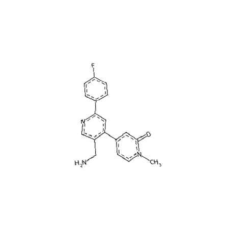 Cn1ccc(-c2cc(-c3ccc(F)cc3)ncc2CN)cc1=O